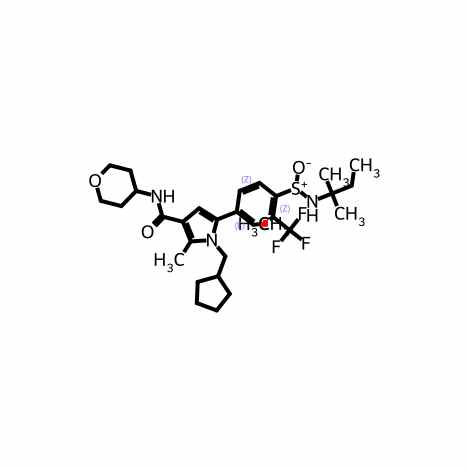 C\C=C(/C=C\C(=C(/C)C(F)(F)F)[S+]([O-])NC(C)(C)CC)c1cc(C(=O)NC2CCOCC2)c(C)n1CC1CCCC1